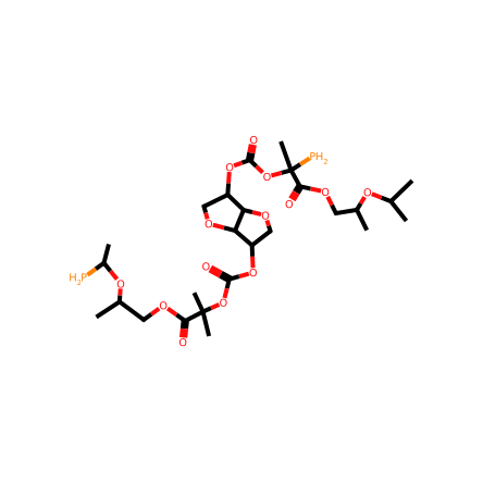 CC(C)OC(C)COC(=O)C(C)(P)OC(=O)OC1COC2C(OC(=O)OC(C)(C)C(=O)OCC(C)OC(C)P)COC12